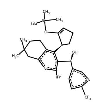 CC(C)c1nc2c(c([C@@H]3CCC=C3O[Si](C)(C)C(C)(C)C)c1[C@@H](O)c1ccc(C(F)(F)F)nc1)CCC(C)(C)C2